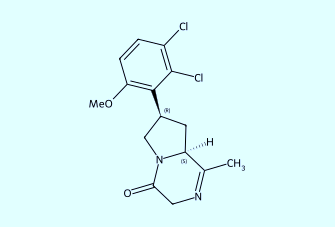 COc1ccc(Cl)c(Cl)c1[C@H]1C[C@H]2C(C)=NCC(=O)N2C1